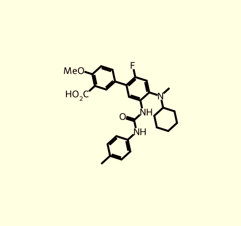 COc1ccc(-c2cc(NC(=O)Nc3ccc(C)cc3)c(N(C)C3CCCCC3)cc2F)cc1C(=O)O